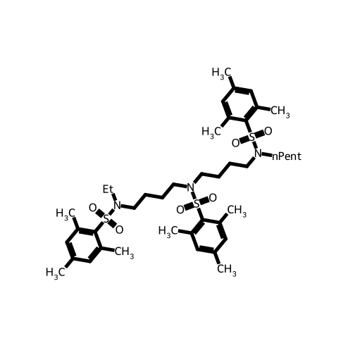 CCCCCN(CCCCN(CCCCN(CC)S(=O)(=O)c1c(C)cc(C)cc1C)S(=O)(=O)c1c(C)cc(C)cc1C)S(=O)(=O)c1c(C)cc(C)cc1C